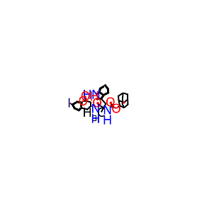 CC(Cc1c[nH]c2ccccc12)(NC(=O)OC1C2CC3CC(C2)CC1C3)C(=O)NC(CC(=O)O)Cc1ccc(I)cc1